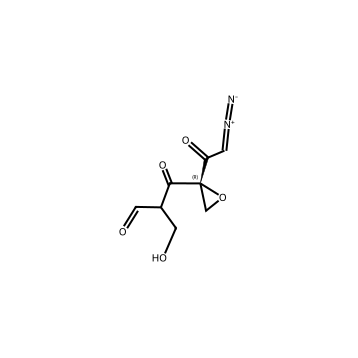 [N-]=[N+]=CC(=O)[C@]1(C(=O)C(C=O)CO)CO1